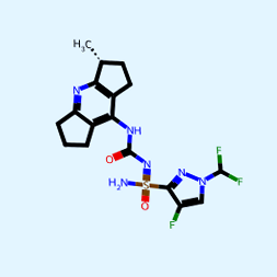 C[C@@H]1CCc2c1nc1c(c2NC(=O)N=S(N)(=O)c2nn(C(F)F)cc2F)CCC1